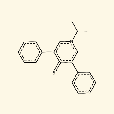 CC(C)n1cc(-c2ccccc2)c(=S)c(-c2ccccc2)c1